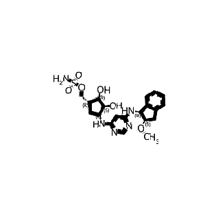 CO[C@H]1Cc2ccccc2[C@H]1Nc1cc(N[C@@H]2C[C@H](COS(N)(=O)=O)[C@@H](O)[C@H]2O)ncn1